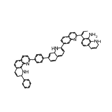 C/C=C(/c1ccc2ccc(C3=CC=C4C=CC(c5ccc(-c6ccc7ccc8c(c7n6)NC(c6ccccc6)C=C8)cc5)=CC4N3)cc2n1)c1ccc2c(c1N)NCC=C2